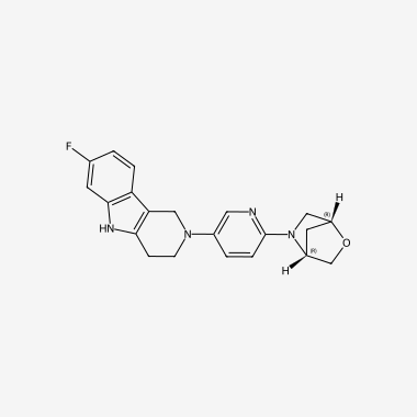 Fc1ccc2c3c([nH]c2c1)CCN(c1ccc(N2C[C@H]4C[C@@H]2CO4)nc1)C3